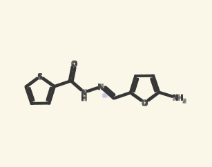 Nc1ccc(/C=N/NC(=O)c2cccs2)o1